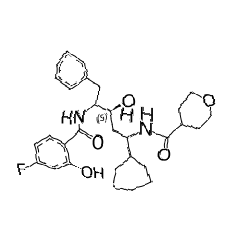 O=C(NC(Cc1ccccc1)[C@@H](O)CC(NC(=O)C1CCOCC1)C1CCCCC1)c1ccc(F)cc1O